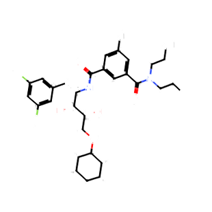 CCCN(CCC)C(=O)c1cc(C)cc(C(=O)N[C@@H](Cc2cc(F)cc(F)c2)[C@@H](O)[C@H](O)COC2CCCCC2)c1